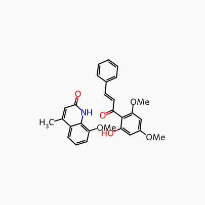 COc1cc(O)c(C(=O)C=Cc2ccccc2)c(OC)c1.COc1cccc2c(C)cc(=O)[nH]c12